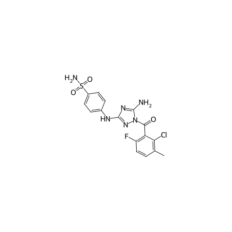 Cc1ccc(F)c(C(=O)n2nc(Nc3ccc(S(N)(=O)=O)cc3)nc2N)c1Cl